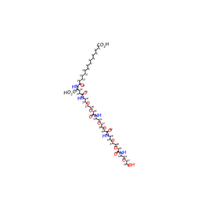 O=C(O)CCCCCCCCCCCCCCC(=O)N[C@@H](CCC(=O)NCCOCCOCC(=O)NCCOCCOCC(=O)NCCOCCOCC(=O)NCCOCCO)C(=O)O